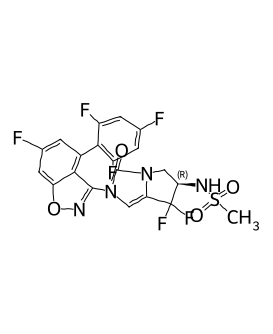 CS(=O)(=O)N[C@@H]1Cn2c(cn(-c3noc4cc(F)cc(-c5c(F)cc(F)cc5F)c34)c2=O)C1(F)F